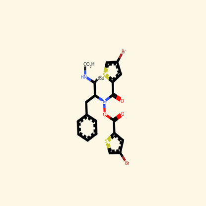 CC(C)(C)C(NC(=O)O)C(Cc1ccccc1)N(OC(=O)c1cc(Br)cs1)C(=O)c1cc(Br)cs1